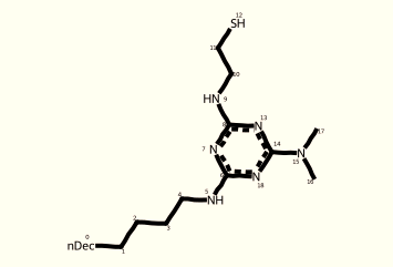 CCCCCCCCCCCCCCNc1nc(NCCS)nc(N(C)C)n1